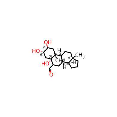 C[C@@]12CCC[C@H]1[C@@H]1CC(C=O)[C@@]3(O)C[C@H](O)[C@@H](O)C[C@]3(C)[C@H]1CC2